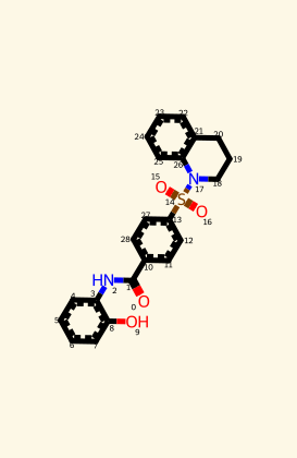 O=C(Nc1ccccc1O)c1ccc(S(=O)(=O)N2CCCc3ccccc32)cc1